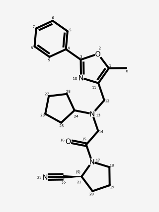 Cc1oc(-c2ccccc2)nc1CN(CC(=O)N1CCC[C@H]1C#N)C1CCCC1